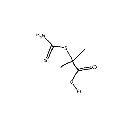 CCOC(=O)C(C)(C)SC(N)=S